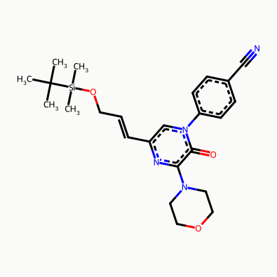 CC(C)(C)[Si](C)(C)OC/C=C/c1cn(-c2ccc(C#N)cc2)c(=O)c(N2CCOCC2)n1